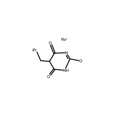 CC(C)CC1C(=O)N=C([O-])NC1=O.[Na+]